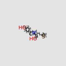 CC(CN1C[C@@H](CCc2cccs2)[C@@H](CO)C1)c1ccc(O)cc1